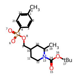 Cc1ccc(S(=O)(=O)OCC2CCN(C(=O)OC(C)(C)C)C(C)C2)cc1